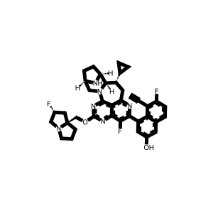 C#Cc1c(F)ccc2cc(O)cc(-c3nc4c5c(nc(OC[C@@]67CCCN6C[C@H](F)C7)nc5c3F)N3C[C@H]5CC[C@H](N5)[C@H]3[C@H](C3CC3)C4)c12